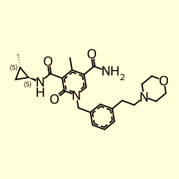 Cc1c(C(N)=O)cn(Cc2cccc(CCN3CCOCC3)c2)c(=O)c1C(=O)N[C@H]1C[C@@H]1C